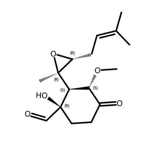 CO[C@@H]1C(=O)CC[C@](O)(C=O)[C@H]1[C@@]1(C)O[C@@H]1CC=C(C)C